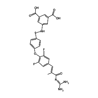 C/C(=C\c1cc(F)c(Oc2ccc(SNc3cc(C(=O)O)cc(C(=O)O)c3)cc2)c(F)c1)C(=O)N=C(N)N